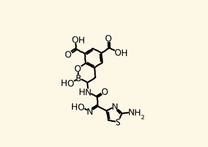 Nc1nc(C(=NO)C(=O)NC2Cc3cc(C(=O)O)cc(C(=O)O)c3OB2O)cs1